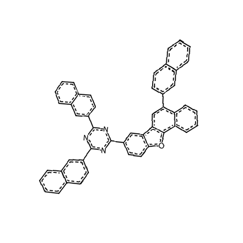 c1ccc2cc(-c3nc(-c4ccc5ccccc5c4)nc(-c4ccc5oc6c7ccccc7c(-c7ccc8ccccc8c7)cc6c5c4)n3)ccc2c1